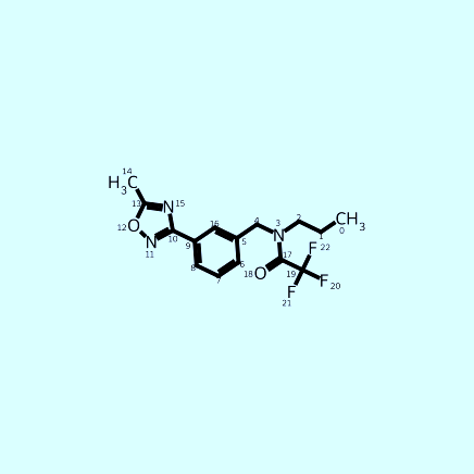 CCCN(Cc1cccc(-c2noc(C)n2)c1)C(=O)C(F)(F)F